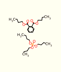 CCCCOC(=O)c1ccccc1C(=O)OCCCC.CCCCOP(=O)(OCCCC)OCCCC